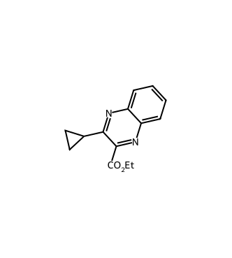 CCOC(=O)c1nc2ccccc2nc1C1CC1